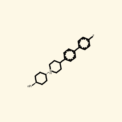 CCC[C@H]1CC[C@H]([SiH]2CCC(c3ccc(-c4ccc(F)cc4)cc3)CC2)CC1